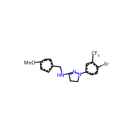 COc1ccc(CNC2=NN(c3ccc(Br)c(C(F)(F)F)c3)CC2)cc1